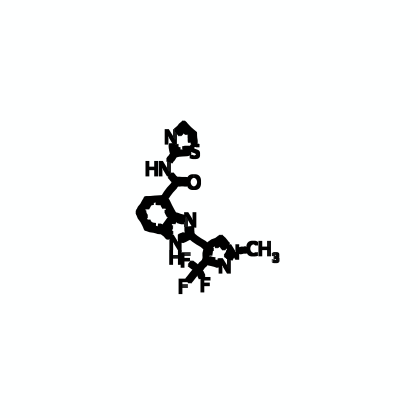 Cn1cc(-c2nc3c(C(=O)Nc4nccs4)cccc3[nH]2)c(C(F)(F)F)n1